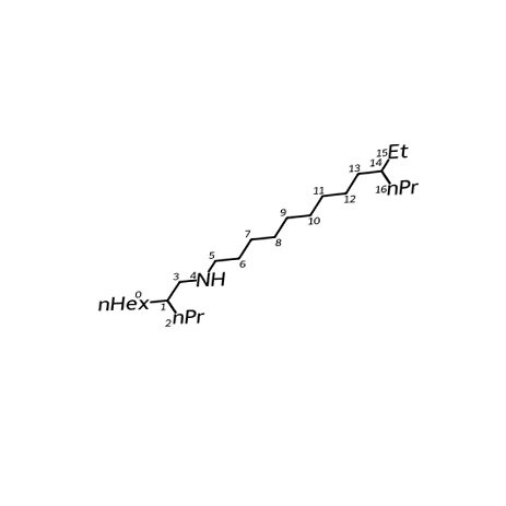 CCCCCCC(CCC)CNCCCCCCCCCC(CC)CCC